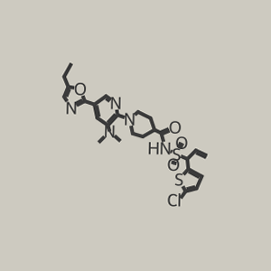 C=CC(c1ccc(Cl)s1)S(=O)(=O)NC(=O)C1CCN(c2ncc(-c3ncc(CC)o3)cc2N(C)C)CC1